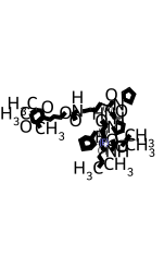 CC1=C(C)C(=O)C(CCCOC(=O)NCCCC[C@H](NC(=O)[C@@H]2CCCN2C(=O)[C@H](/C=C/[C@H](CC(C)C)NC(=O)OC(C)(C)C)Cc2ccccc2)C(=O)NC2CCCC2)=C(C)C1=O